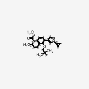 COC(=O)N1c2ccc(-c3cnn(C4CC4)c3)c(OCC(C)(C)F)c2CCC1C